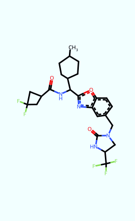 CC1CCC(C(NC(=O)C2CC(F)(F)C2)c2nc3cc(CN4CC(C(F)(F)F)NC4=O)ccc3o2)CC1